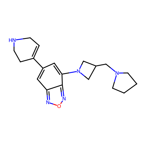 C1=C(c2cc(N3CC(CN4CCCC4)C3)c3nonc3c2)CCNC1